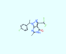 Cc1nc2c(c(C(F)F)nn2C(C)c2ccc(F)cc2)c(=O)[nH]1